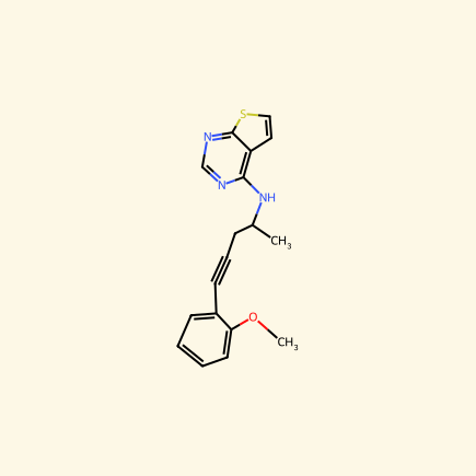 COc1ccccc1C#CCC(C)Nc1ncnc2sccc12